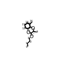 CCCCOC(=O)C(C)Oc1ccccc1C